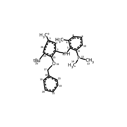 Cc1cc(Pc2c(C)cccc2P(C)C)c(OCc2ccccc2)c(C(C)(C)C)c1